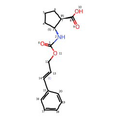 O=C(N[C@H]1CCC[C@H]1C(=O)O)OC/C=C/c1ccccc1